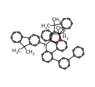 CC1(C)c2ccccc2-c2ccc(N(c3ccc4c(c3)C(C)(C)c3ccccc3-4)c3cccc(-c4cccc(-c5ccccc5)c4)c3-c3cccc4c3-c3ccccc3C4(C)C)cc21